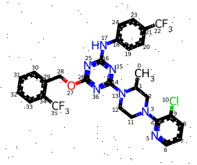 CC1CN(c2ncccc2Cl)CCN1c1nc(Nc2ccc(C(F)(F)F)cc2)nc(OCc2ccccc2C(F)(F)F)n1